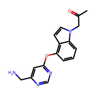 CC(=O)Cn1ccc2c(Oc3cc(CN)ncn3)cccc21